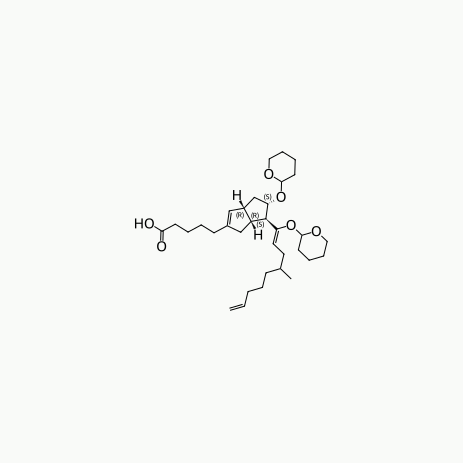 C=CCCCC(C)CC=C(OC1CCCCO1)[C@H]1[C@@H]2CC(CCCCC(=O)O)=C[C@@H]2C[C@@H]1OC1CCCCO1